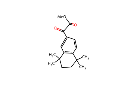 COC(=O)C(=O)c1ccc2c(c1)C(C)(C)CCC2(C)C